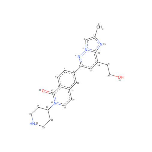 Cc1cn2nc(-c3ccc4c(=O)n(C5CCNCC5)ccc4c3)cc(CCO)c2n1